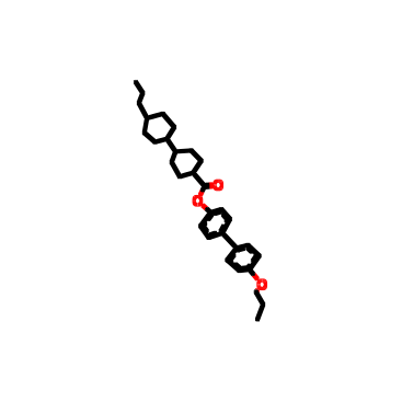 CCCOc1ccc(-c2ccc(OC(=O)C3CCC(C4CCC(CCC)CC4)CC3)cc2)cc1